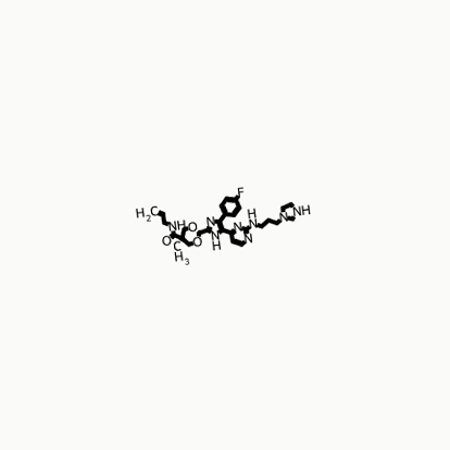 C=CCNC(=O)C1(C)COC(c2nc(-c3ccc(F)cc3)c(-c3ccnc(NCCCN4CCNC4)n3)[nH]2)OC1